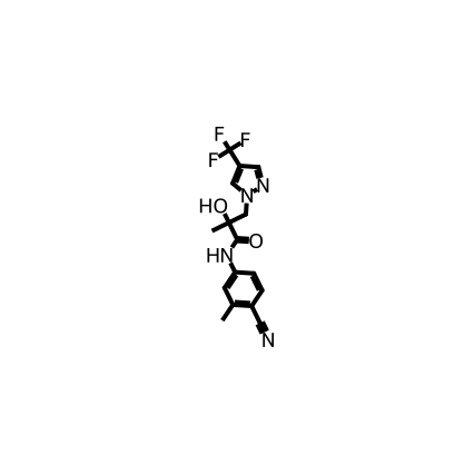 Cc1cc(NC(=O)C(C)(O)Cn2cc(C(F)(F)F)cn2)ccc1C#N